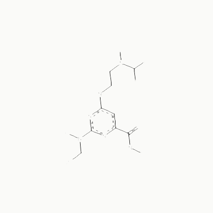 CCN(C)c1nc(NCCN(C)C(C)O)cc(C(=O)NC)n1